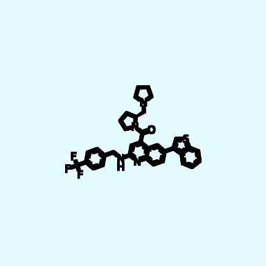 O=C(c1cc(NCc2ccc(C(F)(F)F)cc2)nc2ccc(-c3csc4ccccc34)cc12)N1CCC[C@H]1CN1CCCC1